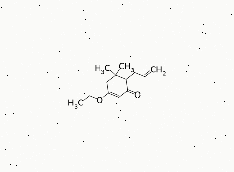 C=CCC1C(=O)C=C(OCC)CC1(C)C